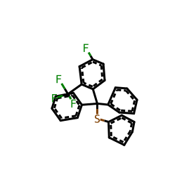 Fc1ccc(C(Sc2ccccc2)(c2ccccc2)c2ccccc2)c(C(F)(F)F)c1